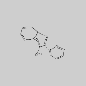 O=Cc1c(-c2ccccc2)nn2ccccc12